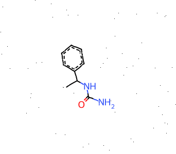 [CH2]C(NC(N)=O)c1ccccc1